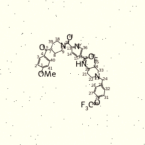 COc1ccc(C(=O)C2CCN(C(=O)c3ccc(C(=O)NC4CCN(Cc5ccc(OC(F)(F)F)cc5)CC4F)cn3)CC2)cc1